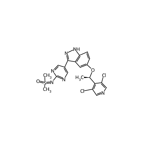 C[C@@H](Oc1ccc2[nH]nc(-c3cnc(N=S(C)(C)=O)nc3)c2c1)c1c(Cl)cncc1Cl